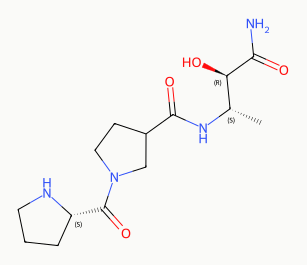 C[C@H](NC(=O)C1CCN(C(=O)[C@@H]2CCCN2)C1)[C@@H](O)C(N)=O